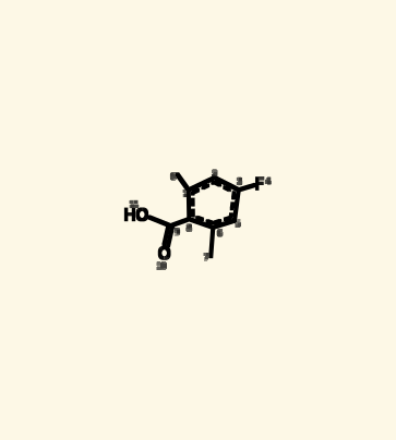 Cc1cc(F)cc(C)c1C(=O)O